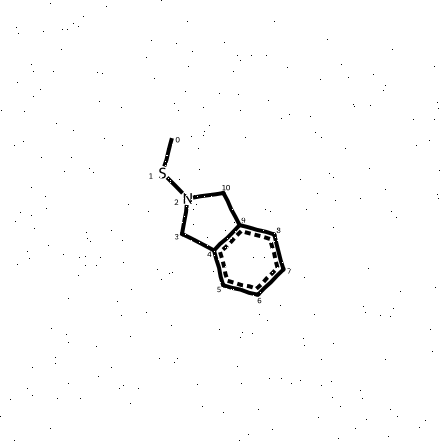 CSN1Cc2ccccc2C1